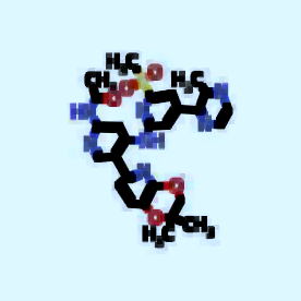 CC(=O)Nc1cc(Nc2cc(-c3nccnc3C)cc(S(C)(=O)=O)n2)c(-c2ccc3c(n2)OCC(C)(C)O3)cn1